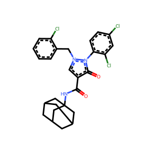 O=C(NC12CC3CC(CC(C3)C1)C2)c1cn(Cc2ccccc2Cl)n(-c2ccc(Cl)cc2Cl)c1=O